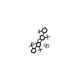 CC(C)(C)c1ccccc1-c1cc2c(cc1C(C)(C)C)-c1cc(C(C)(C)C)c(-c3ccccc3C(C)(C)C)[c]([Zr+2])c1C2.[Cl-].[Cl-]